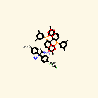 COc1ccc(C(N)(c2ccc(OC)cc2)C(N)C(C)C)cc1.Cc1cc(C)cc(P(c2cc(C)cc(C)c2)c2ccc3ccccc3c2-c2c(P(c3cc(C)cc(C)c3)c3cc(C)cc(C)c3)ccc3ccccc23)c1.[Cl][Ru][Cl]